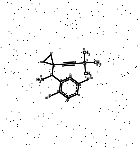 C[Si](C)(C)C#CC1(C(N)c2cc(F)ccc2F)CC1